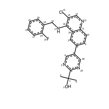 CC(C)(O)c1ncc(-c2ccc3ncc(Cl)c(NCc4ccccc4F)c3c2)cn1